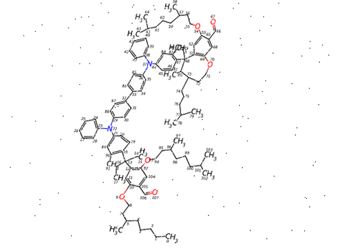 CCCCCC(C)CCOc1cc(C(CC)(CC)c2ccc(N(c3ccccc3)c3ccc(-c4ccc(N(c5ccccc5)c5ccc(C6(CC)c7cc(OCCC(C)CCCC(C)C)c(C=O)cc7OCCC(CCCC(C)C)C6C)c(C)c5)cc4)cc3)cc2C)c(OCCC(C)CCCC(C)C)cc1C=O